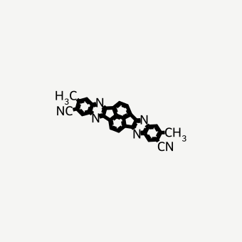 Cc1cc2nc3c(nc2cc1C#N)-c1ccc2c4c(ccc-3c14)-c1nc3cc(C)c(C#N)cc3nc1-2